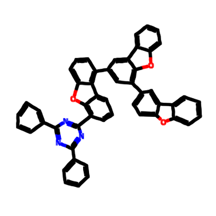 c1ccc(-c2nc(-c3ccccc3)nc(-c3cccc4c3oc3cccc(-c5cc(-c6ccc7oc8ccccc8c7c6)c6oc7ccccc7c6c5)c34)n2)cc1